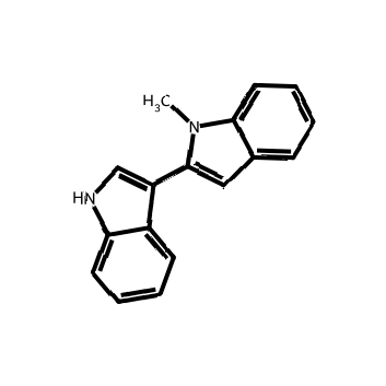 Cn1c(-c2c[nH]c3ccccc23)[c]c2ccccc21